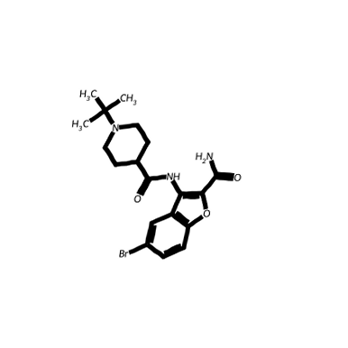 CC(C)(C)N1CCC(C(=O)Nc2c(C(N)=O)oc3ccc(Br)cc23)CC1